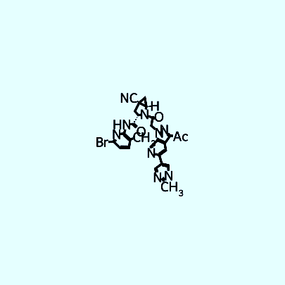 CC(=O)c1nn(CC(=O)N2[C@H](C(=O)Nc3nc(Br)ccc3C)C[C@@]3(C#N)C[C@@H]23)c2cnc(-c3cnc(C)nc3)cc12